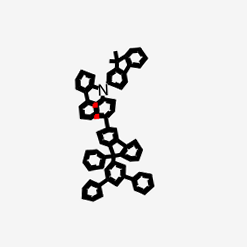 CC1(C)c2ccccc2-c2ccc(N(c3ccc(-c4ccc5c(c4)-c4ccccc4C5(c4ccccc4)c4cc(-c5ccccc5)cc(-c5ccccc5)c4)cc3)c3ccccc3-c3ccccc3)cc21